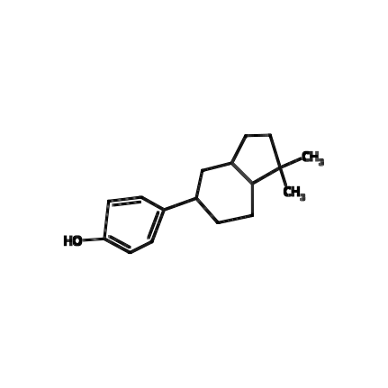 CC1(C)CCC2CC(c3ccc(O)cc3)CCC21